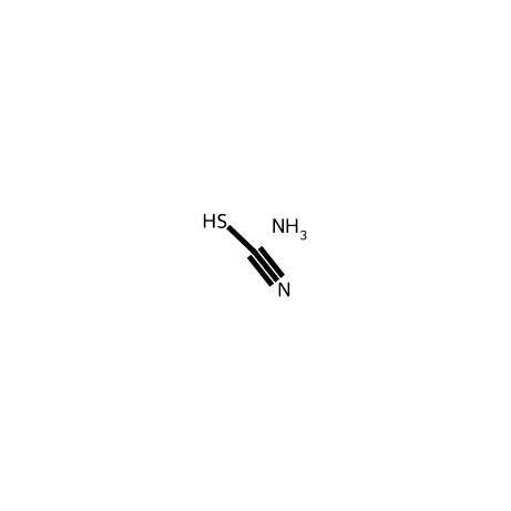 N.N#CS